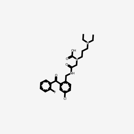 CCN(CC)CCCN(CC(=O)NCc1ccc(Cl)cc1C(=O)c1ccccc1F)C(=O)O